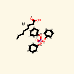 CCCCCCCC(=O)O.O=P(Oc1ccccc1)(Oc1ccccc1)Oc1ccccc1.[Ni]